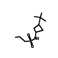 CCCS(=O)(=O)NC1CC(C(C)(C)C)C1